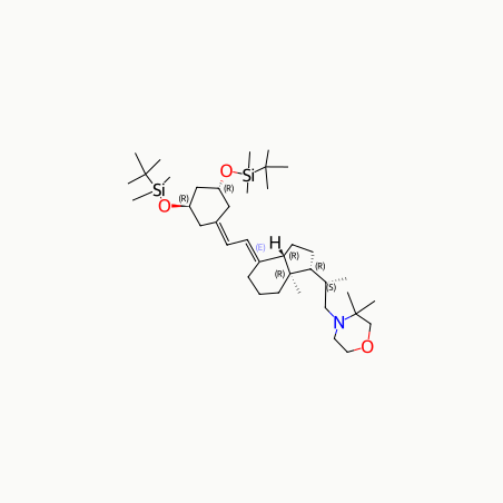 C[C@H](CN1CCOCC1(C)C)[C@H]1CC[C@H]2/C(=C/C=C3C[C@@H](O[Si](C)(C)C(C)(C)C)C[C@H](O[Si](C)(C)C(C)(C)C)C3)CCC[C@]12C